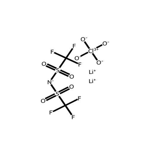 O=S(=O)([N-]S(=O)(=O)C(F)(F)F)C(F)(F)F.[Li+].[Li+].[O-][Cl+3]([O-])([O-])[O-]